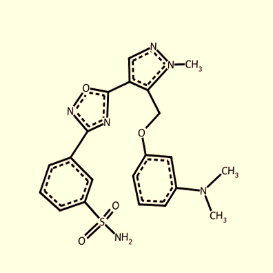 CN(C)c1cccc(OCc2c(-c3nc(-c4cccc(S(N)(=O)=O)c4)no3)cnn2C)c1